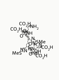 CSc1cnc(C(CC(=O)CC(SC[C@H](NC(O)CC[C@@H](N)C(=O)O)C(=O)NCC(=O)O)c2cnc(SC)cn2)SC[C@H](NC(=O)CC[C@H](N)C(=O)O)C(=O)NCC(=O)O)cn1